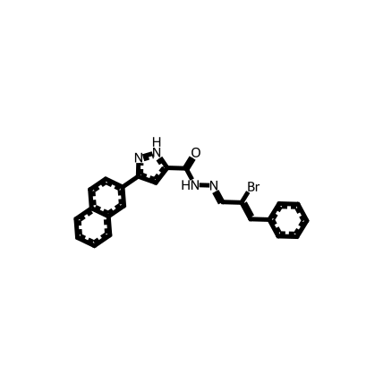 O=C(NN=CC(Br)=Cc1ccccc1)c1cc(-c2ccc3ccccc3c2)n[nH]1